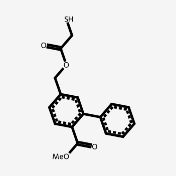 COC(=O)c1ccc(COC(=O)CS)cc1-c1ccccc1